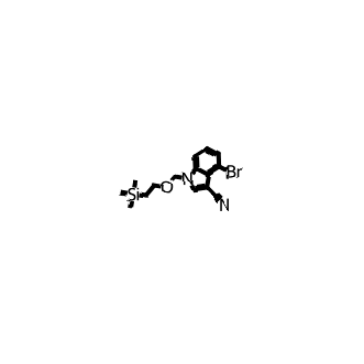 C[Si](C)(C)CCOCn1cc(C#N)c2c(Br)cccc21